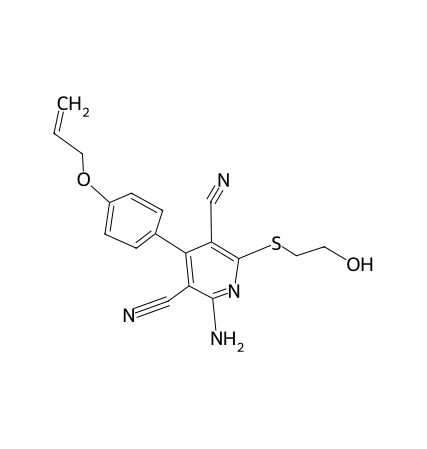 C=CCOc1ccc(-c2c(C#N)c(N)nc(SCCO)c2C#N)cc1